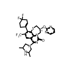 CC1CN(c2nc(=O)n3c4c(c(C5=CCC(F)(F)CC5)c(C(F)(F)F)cc24)SC[C@@H](Oc2ncccn2)C3)CC(C)N1